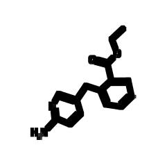 CCOC(=O)c1c[c]ccc1Cc1ccc(N)nc1